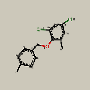 Cc1ccc(COc2c(C)cc(Cl)cc2Cl)cc1